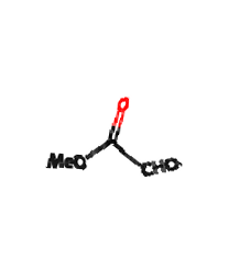 COC(=O)[C]=O